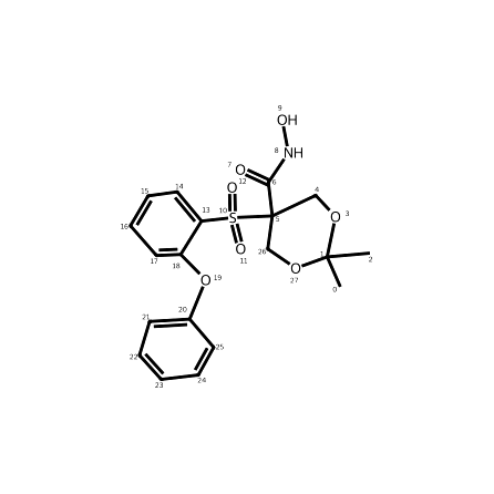 CC1(C)OCC(C(=O)NO)(S(=O)(=O)c2ccccc2Oc2ccccc2)CO1